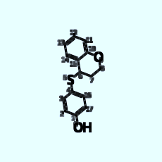 Oc1ccc(SC2CCOc3ccccc32)cc1